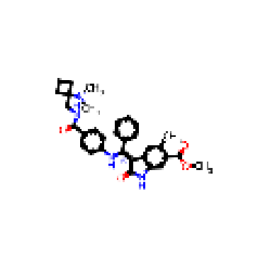 COC(=O)c1cc2c(cc1C)/C(=C(/Nc1ccc(C(=O)NCC3(N(C)C)CCC3)cc1)c1ccccc1)C(=O)N2